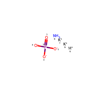 N.O=P([O-])([O-])[O-].[H+].[K+].[K+]